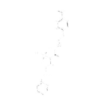 CC(=O)c1ccc(CCNOC(=O)C(CCSSc2ccccn2)S(=O)(=O)O)cc1